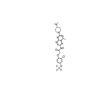 Cc1nc(N2CCC(N(C)C)CC2)nc2ncc(NC(=O)COc3ccc(OC(F)(F)F)cc3Cl)nc12